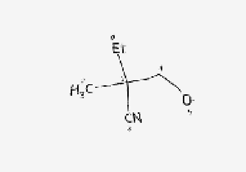 CCC(C)(C#N)C[O]